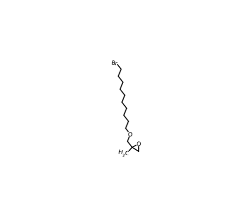 CC1(COCCCCCCCCCCBr)CO1